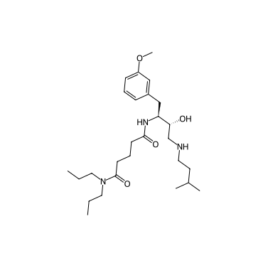 CCCN(CCC)C(=O)CCCC(=O)N[C@@H](Cc1cccc(OC)c1)[C@H](O)CNCCC(C)C